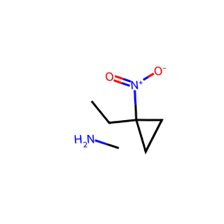 CCC1([N+](=O)[O-])CC1.CN